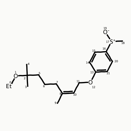 CCOC(C)(C)CCCC(C)=CCOc1ccc([S+](C)[O-])cc1